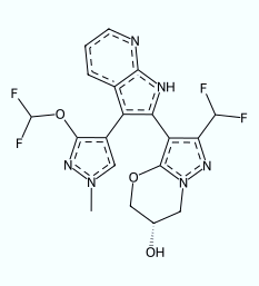 Cn1cc(-c2c(-c3c(C(F)F)nn4c3OC[C@@H](O)C4)[nH]c3ncccc23)c(OC(F)F)n1